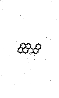 O=c1ccc2ccccc2n1-c1ccc2ccc3cccc4ccc1c2c34